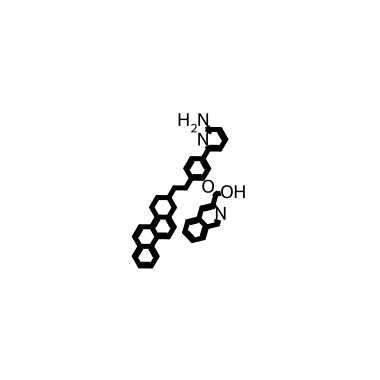 Nc1cccc(-c2ccc(CCC3CCc4c(ccc5c4ccc4ccccc45)C3)cc2)n1.O=C(O)c1cc2ccccc2cn1